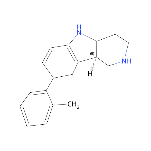 Cc1ccccc1C1C=CC2=C(C1)[C@@H]1CNCCC1N2